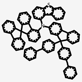 c1ccc(-c2ccc(C3(c4ccc(-c5ccccc5)cc4)c4ccccc4-c4ccc(N(c5cccc6c5-c5ccccc5C65c6ccccc6-c6ccccc65)c5cccc6sc7ccccc7c56)cc43)cc2)cc1